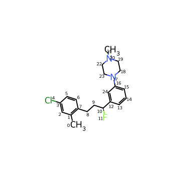 Cc1cc(Cl)ccc1CC[C@H](F)c1cccc(N2CCN(C)CC2)c1